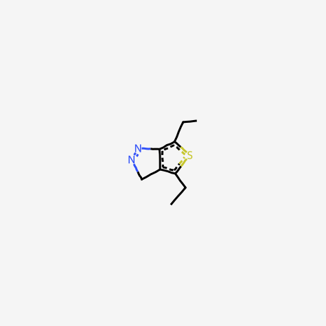 CCc1sc(CC)c2c1CN=N2